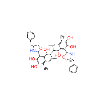 Cc1cc2c(C(C)C)c(O)c(O)c(C3NC(Cc4ccccc4)CO3)c2c(O)c1-c1c(C)cc2c(C(C)C)c(O)c(O)c(C3N[C@@H](Cc4ccccc4)CO3)c2c1O